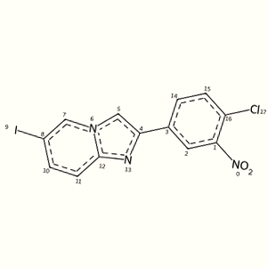 O=[N+]([O-])c1cc(-c2cn3cc(I)ccc3n2)ccc1Cl